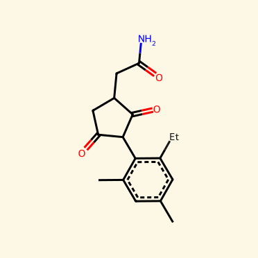 CCc1cc(C)cc(C)c1C1C(=O)CC(CC(N)=O)C1=O